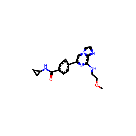 COCCNc1nc(-c2ccc(C(=O)NC3CC3)cc2)cn2ccnc12